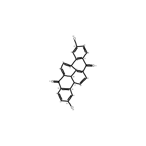 O=C1C2=C3C(=CC=C4C(=O)c5ccc(Cl)cc5C(C=C2)C43)c2cc(Cl)ccc21